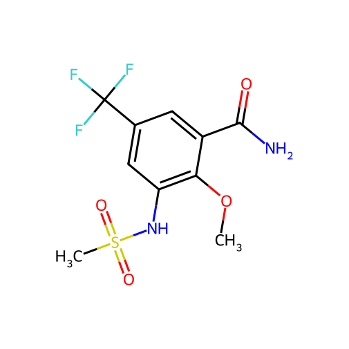 COc1c(NS(C)(=O)=O)cc(C(F)(F)F)cc1C(N)=O